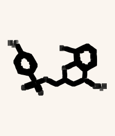 Cc1ccc(S(=O)(=O)OCC2CN(C(=O)O)c3cccc(Br)c3O2)cc1